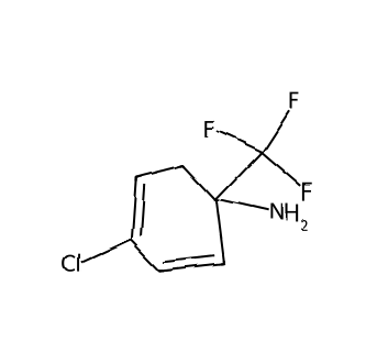 NC1(C(F)(F)F)C=CC(Cl)=CC1